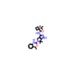 CCc1ccccc1NC(=O)N1Cc2c(NC(=O)C3([Si](C)(C)C)CCC3)n[nH]c2C1(C)C